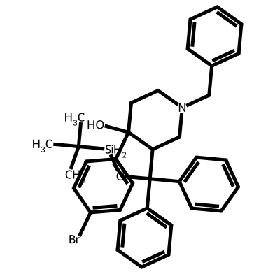 CC(C)(C)[SiH2]OC(c1ccccc1)(c1ccccc1)C1CN(Cc2ccccc2)CCC1(O)c1ccc(Br)cc1